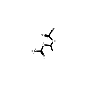 CC(OC(N)=O)OC(=O)C(C)C